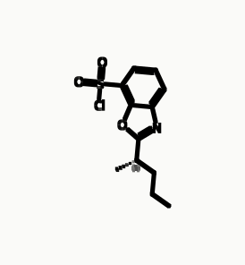 CCC[C@H](C)c1nc2cccc(S(=O)(=O)Cl)c2o1